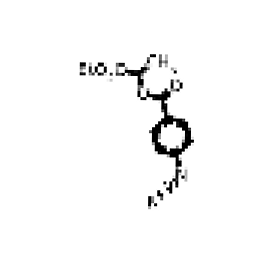 CCOC(=O)C(C)OC(=O)c1ccc(N=[N+]=[N-])cc1